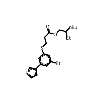 CCCCC(CC)COC(=O)CCSc1cc(CC)cc(-c2ccsc2)c1